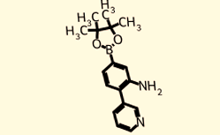 CC1(C)OB(c2ccc(-c3cccnc3)c(N)c2)OC1(C)C